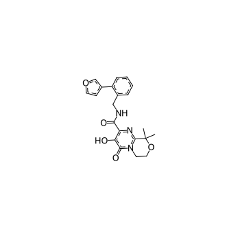 CC1(C)OCCn2c1nc(C(=O)NCc1ccccc1-c1ccoc1)c(O)c2=O